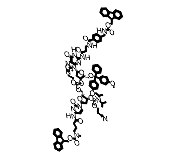 [C-]#[N+]CCOP(OC[C@H]1O[C@@H](n2ccc(NC(=O)CCCN(C)C(=O)OCC3c4ccccc4-c4ccccc43)nc2=O)CC1OP(OCCC#N)N(C(C)C)C(C)C)OC1C[C@H](n2cnc3c(=O)[nH]c(NC(=O)CCNC(=O)c4ccc(CNC(=O)OCC5c6ccccc6-c6ccccc65)cc4)nc32)O[C@@H]1COC(c1ccccc1)(c1ccc(OC)cc1)c1ccc(OC)cc1